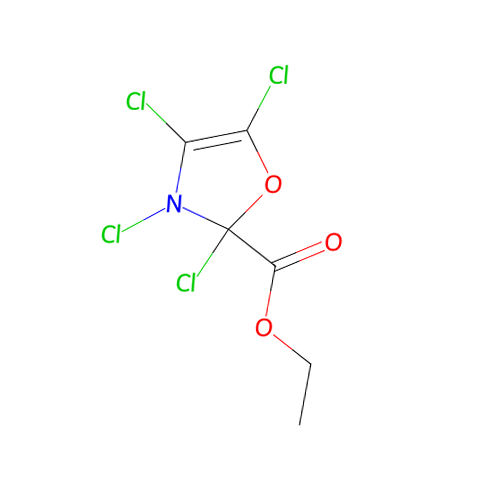 CCOC(=O)C1(Cl)OC(Cl)=C(Cl)N1Cl